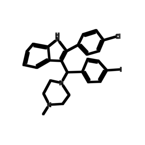 CN1CCN(C(c2ccc(I)cc2)c2c(-c3ccc(Cl)cc3)[nH]c3ccccc23)CC1